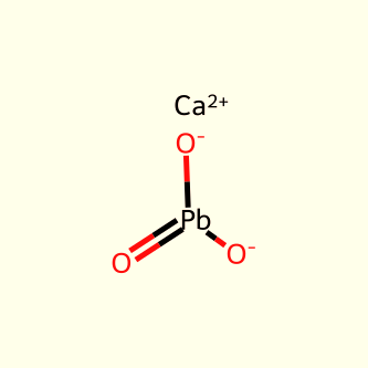 [Ca+2].[O]=[Pb]([O-])[O-]